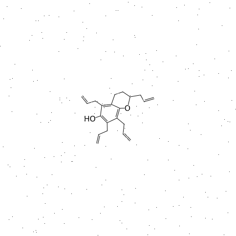 C=CCc1c(O)c(CC=C)c2c(c1CC=C)OC(CC=C)CC2